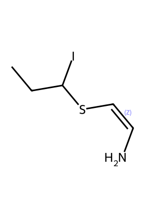 CCC(I)S/C=C\N